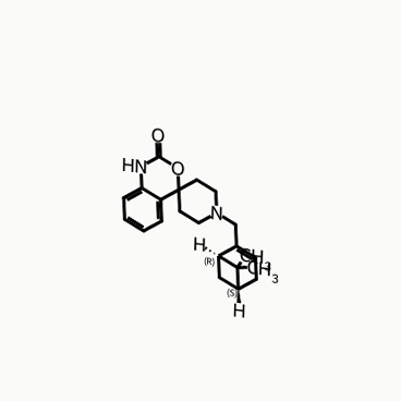 CC1(C)[C@@H]2CC=C(CN3CCC4(CC3)OC(=O)Nc3ccccc34)[C@@H]1C2